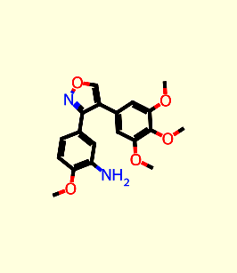 COc1ccc(-c2nocc2-c2cc(OC)c(OC)c(OC)c2)cc1N